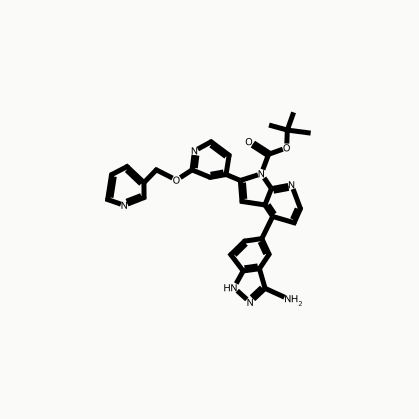 CC(C)(C)OC(=O)n1c(-c2ccnc(OCc3cccnc3)c2)cc2c(-c3ccc4[nH]nc(N)c4c3)ccnc21